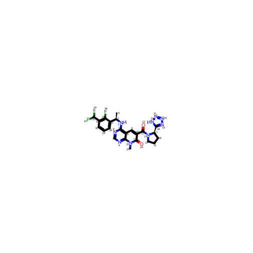 C[C@@H](Nc1ncnc2c1cc(C(=O)N1CCC[C@@H]1c1nnn[nH]1)c(=O)n2C)c1cccc(C(F)F)c1F